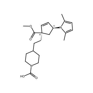 COC(=O)[C@@]1(CCC2CCN(C(=O)O)CC2)C=C[C@@H](n2c(C)ccc2C)C1